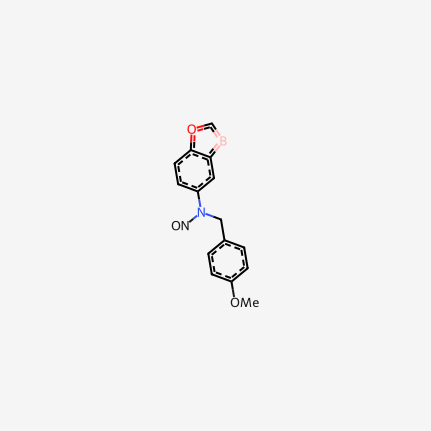 COc1ccc(CN(N=O)c2ccc3ocbc3c2)cc1